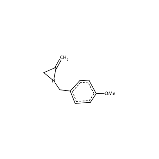 C=C1CN1Cc1ccc(OC)cc1